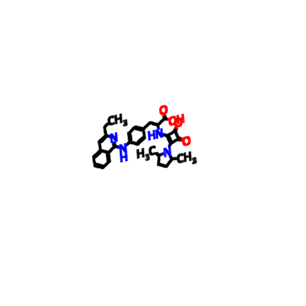 CCc1cc2ccccc2c(Nc2ccc(CC(Nc3c(N4C(C)CCC4C)c(=O)c3=O)C(=O)O)cc2)n1